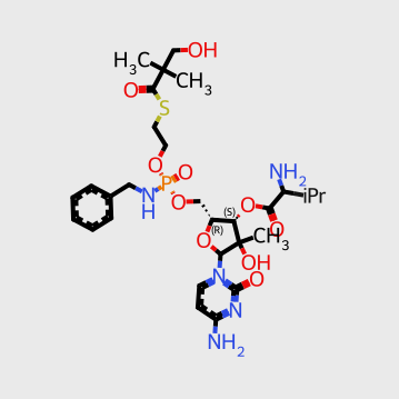 CC(C)C(N)C(=O)O[C@H]1[C@@H](COP(=O)(NCc2ccccc2)OCCSC(=O)C(C)(C)CO)OC(n2ccc(N)nc2=O)C1(C)O